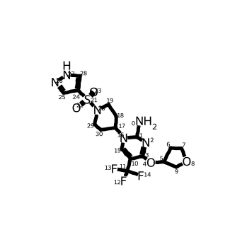 NC1N=C(OC2CCOC2)C(C(F)(F)F)=CN1C1CCN(S(=O)(=O)c2cn[nH]c2)CC1